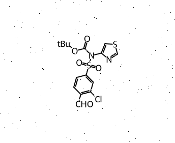 CC(C)(C)OC(=O)N(c1cscn1)S(=O)(=O)c1ccc(C=O)c(Cl)c1